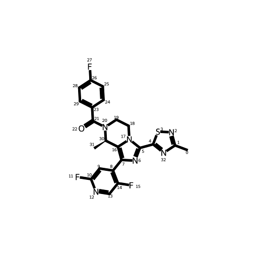 Cc1nsc(-c2nc(-c3cc(F)ncc3F)c3n2CCN(C(=O)c2ccc(F)cc2)[C@@H]3C)n1